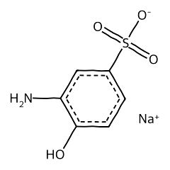 Nc1cc(S(=O)(=O)[O-])ccc1O.[Na+]